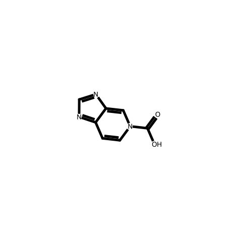 O=C(O)n1ccc2ncnc-2c1